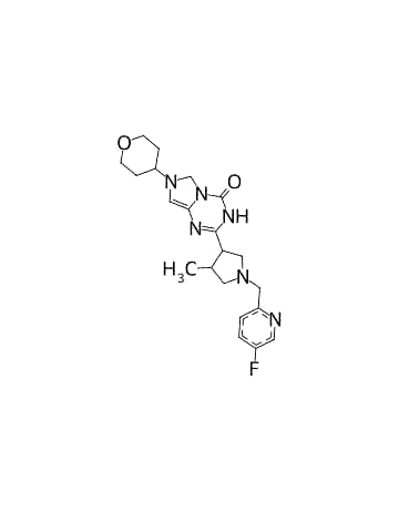 CC1CN(Cc2ccc(F)cn2)CC1C1=NC2=CN(C3CCOCC3)CN2C(=O)N1